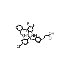 O=C(O)CCc1ccc(CC2(c3ccc(Cl)cc3OCc3ccccc3Cl)Nc3cc(F)c(F)cc3N2)cc1